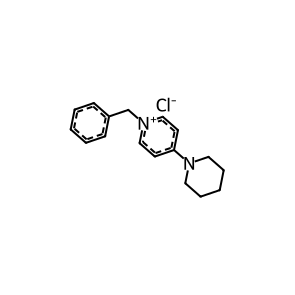 [Cl-].c1ccc(C[n+]2ccc(N3CCCCC3)cc2)cc1